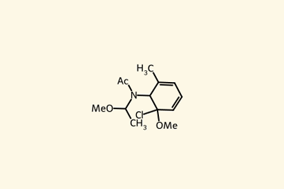 COC(C)N(C(C)=O)C1C(C)=CC=CC1(Cl)OC